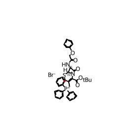 CC(C)(C)OC(=O)C1=C(C[P+](c2ccccc2)(c2ccccc2)c2ccccc2)CS[C@H]2[C@H](NC(=O)COc3ccccc3)C(=O)N12.[Br-]